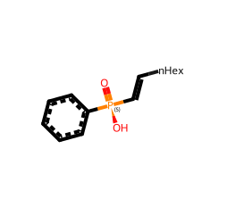 CCCCCCC=C[P@](=O)(O)c1ccccc1